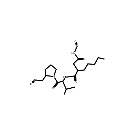 CCCCCC(CC(=O)NN=O)C(=O)NC(C(=O)N1CCCC1CN=O)C(C)C